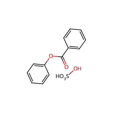 O=C(Oc1ccccc1)c1ccccc1.O=S(=O)(O)O